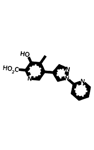 Cc1c(-c2cnn(-c3ccccn3)c2)cnc(C(=O)O)c1O